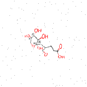 O=CC(CCC(=O)O)C[C@@]1(O)OC[C@@H](O)[C@H](O)[C@H]1O